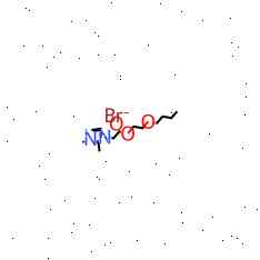 CCCCOCCOC(=O)Cn1cc[n+](C)c1C.[Br-]